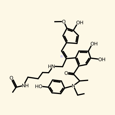 CCN(c1ccc(O)cc1)C(C)C(=O)c1cc(O)c(O)cc1/C(=C\c1ccc(O)c(OC)c1)CNCCCCNC(C)=O